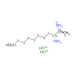 CCCCCCCCCCCCCCC[C@@H](N)[C@H](C)N.Cl.Cl